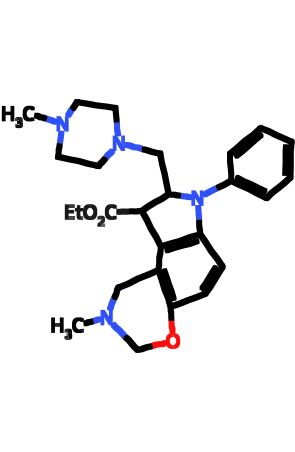 CCOC(=O)C1c2c(ccc3c2CN(C)CO3)N(c2ccccc2)C1CN1CCN(C)CC1